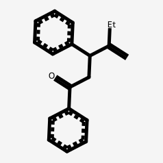 C=C(CC)C(CC(=O)c1ccccc1)c1ccccc1